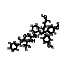 CO/C(C)=C/C=C(\C)P(=N[C@@H]1CCCC[C@H]1NC(=S)N[C@H](C(=O)N(C)Cc1ccccc1)C(C)(C)C)(c1ccc(OC)cc1)c1ccc(OC)cc1